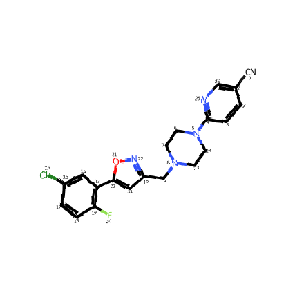 N#Cc1ccc(N2CCN(Cc3cc(-c4cc(Cl)ccc4F)on3)CC2)nc1